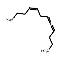 CCCCCCCCC/C=C\CC=C=CCCC(=O)O